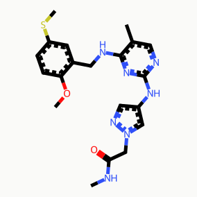 CNC(=O)Cn1cc(Nc2ncc(C)c(NCc3cc(SC)ccc3OC)n2)cn1